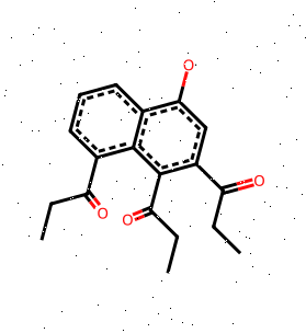 CCC(=O)c1cc([O])c2cccc(C(=O)CC)c2c1C(=O)CC